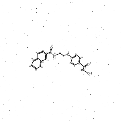 O=C(NO)c1ccc(OCCNC(=O)c2ccc3ncccc3c2)cc1